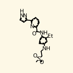 CCc1cc(NCCS(C)(=O)=O)ccc1NC(=O)c1cccc(-c2cc[nH]n2)n1